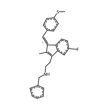 CSc1ccc(/C=C2/C(C)=C(CCNCc3ccccc3)c3cc(F)ccc32)cc1